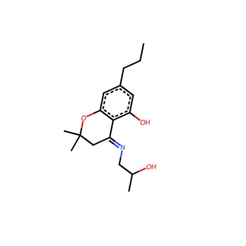 CCCc1cc(O)c2c(c1)OC(C)(C)CC2=NCC(C)O